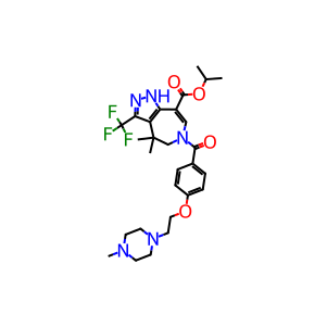 CC(C)OC(=O)C1=CN(C(=O)c2ccc(OCCN3CCN(C)CC3)cc2)CC(C)(C)c2c(C(F)(F)F)n[nH]c21